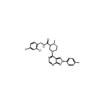 Cc1ccc(-n2cc3c(N4CCN(C)C(C(=O)NCc5ccc(F)cc5Cl)C4)ncnc3n2)cc1